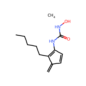 C.C=C1C=CC(NC(=O)NO)=C1CCCCC